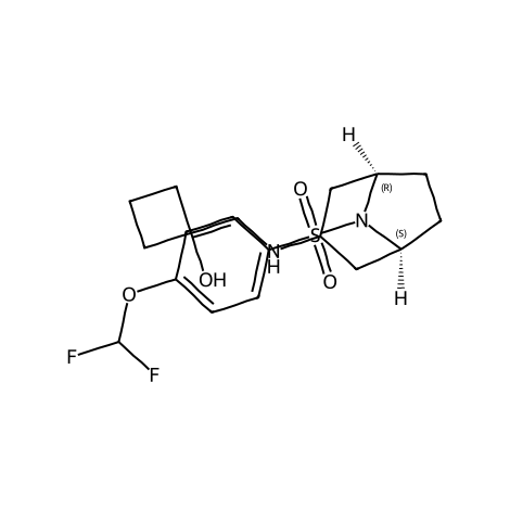 O=S(=O)(c1ccc(OC(F)F)cc1)N1[C@@H]2CC[C@H]1CC(NCC1(O)CCC1)C2